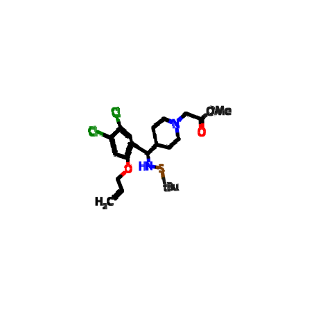 C=CCOc1cc(Cl)c(Cl)cc1C(NSC(C)(C)C)C1CCN(CC(=O)OC)CC1